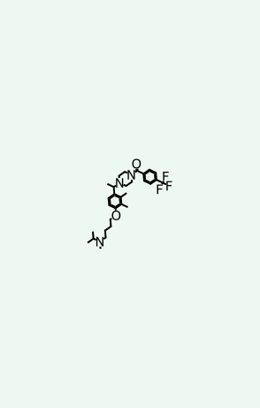 Cc1c(OCCCCN(C)C(C)C)ccc(C(C)N2CCN(C(=O)c3ccc(C(F)(F)F)cc3)CC2)c1C